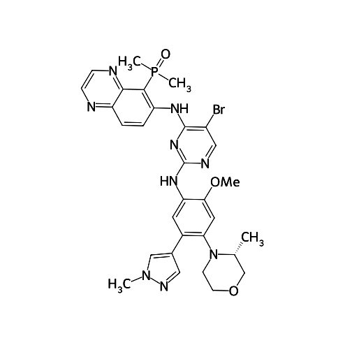 COc1cc(N2CCOC[C@H]2C)c(-c2cnn(C)c2)cc1Nc1ncc(Br)c(Nc2ccc3nccnc3c2P(C)(C)=O)n1